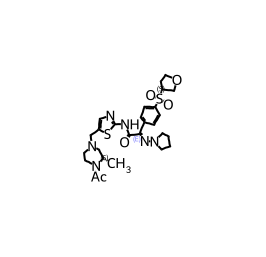 CC(=O)N1CCN(Cc2cnc(NC(=O)/C(=N/N3CCCC3)c3ccc(S(=O)(=O)[C@H]4CCOC4)cc3)s2)C[C@@H]1C